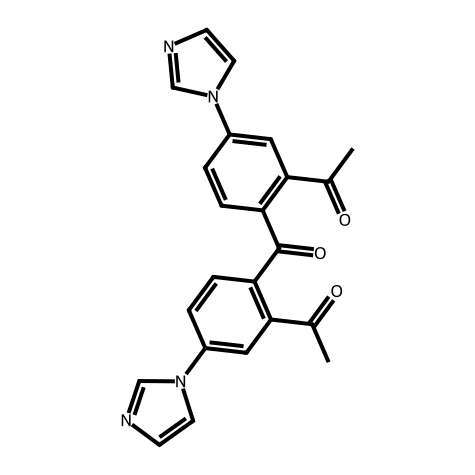 CC(=O)c1cc(-n2ccnc2)ccc1C(=O)c1ccc(-n2ccnc2)cc1C(C)=O